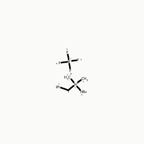 CCCC[N+](C)(C)CC(C)C.F[B-](F)(F)F